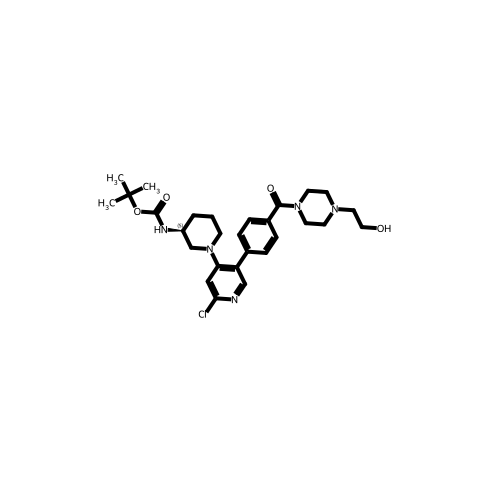 CC(C)(C)OC(=O)N[C@H]1CCCN(c2cc(Cl)ncc2-c2ccc(C(=O)N3CCN(CCO)CC3)cc2)C1